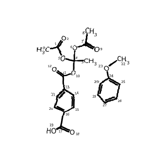 CC(=O)OC(C)(OC(C)=O)OC(=O)c1ccc(C(=O)O)cc1.COc1ccccc1